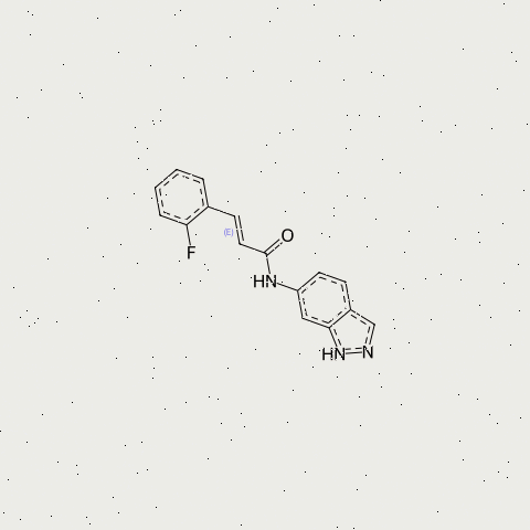 O=C(/C=C/c1ccccc1F)Nc1ccc2cn[nH]c2c1